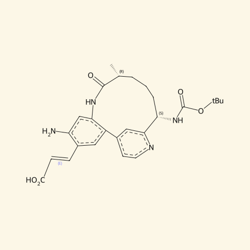 C[C@@H]1CCC[C@H](NC(=O)OC(C)(C)C)c2cc(ccn2)-c2cc(/C=C/C(=O)O)c(N)cc2NC1=O